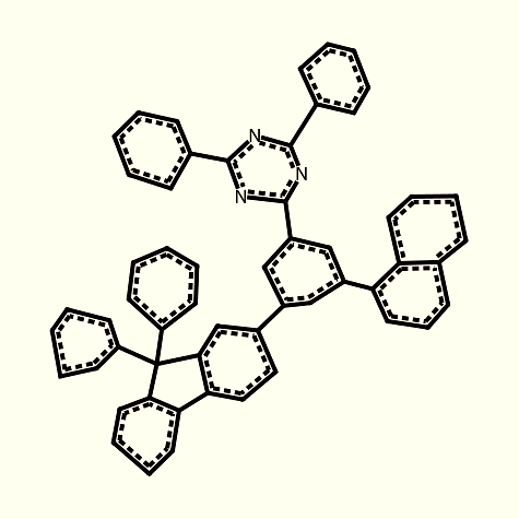 c1ccc(-c2nc(-c3ccccc3)nc(-c3cc(-c4ccc5c(c4)C(c4ccccc4)(c4ccccc4)c4ccccc4-5)cc(-c4cccc5ccccc45)c3)n2)cc1